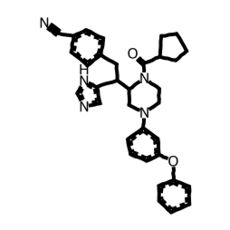 N#Cc1ccc(CC(c2cnc[nH]2)C2CN(c3cccc(Oc4ccccc4)c3)CCN2C(=O)C2CCCC2)cc1